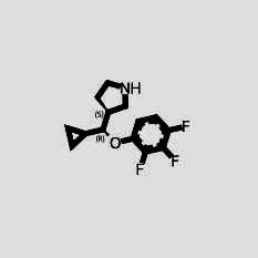 Fc1ccc(O[C@H](C2CC2)[C@H]2CCNC2)c(F)c1F